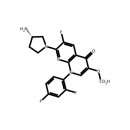 N[C@H]1CCN(c2nc3c(cc2F)c(=O)c(OC(=O)O)cn3-c2ccc(F)cc2F)C1